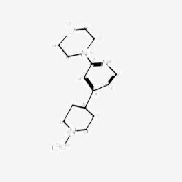 CC(C)(C)N1CCC(c2ccnc(N3CCOCC3)c2)CC1